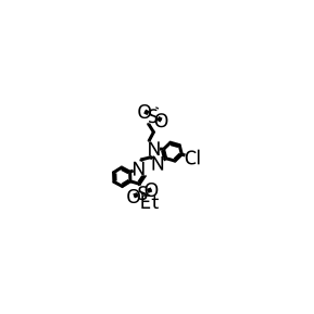 CCS(=O)(=O)c1cn(Cc2nc3cc(Cl)ccc3n2CCCS(C)(=O)=O)c2ccccc12